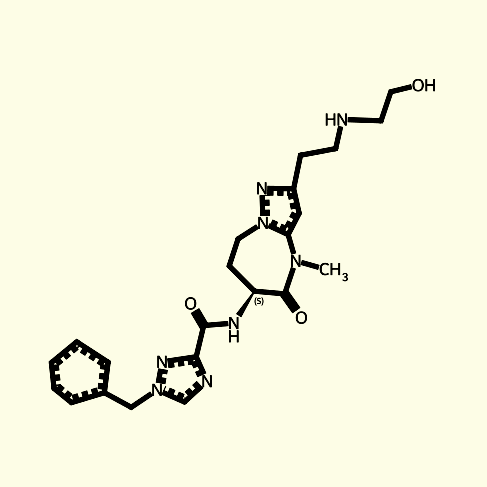 CN1C(=O)[C@@H](NC(=O)c2ncn(Cc3ccccc3)n2)CCn2nc(CCNCCO)cc21